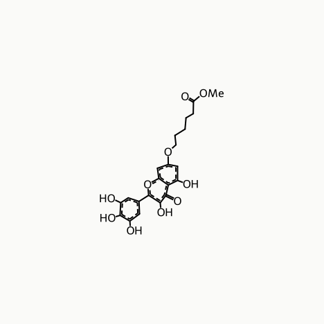 COC(=O)CCCCCOc1cc(O)c2c(=O)c(O)c(-c3cc(O)c(O)c(O)c3)oc2c1